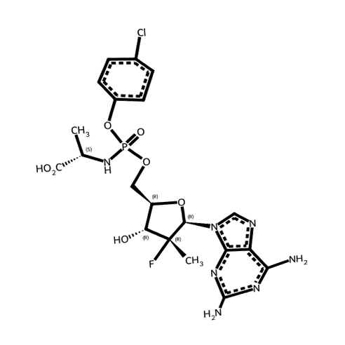 C[C@H](NP(=O)(OC[C@H]1O[C@@H](n2cnc3c(N)nc(N)nc32)[C@](C)(F)[C@@H]1O)Oc1ccc(Cl)cc1)C(=O)O